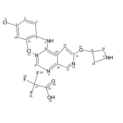 Clc1ccc(Nc2ncnc3cnc(OC4CNC4)cc23)c(Cl)c1.O=C(O)C(F)(F)F